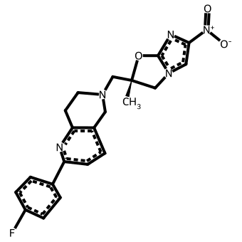 C[C@]1(CN2CCc3nc(-c4ccc(F)cc4)ccc3C2)Cn2cc([N+](=O)[O-])nc2O1